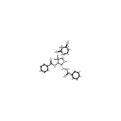 CC1(C)[C@H](OC(=O)c2ccccc2)[C@@H](COC(=O)c2ccccc2)O[C@H]1n1ccc(=O)[nH]c1=O